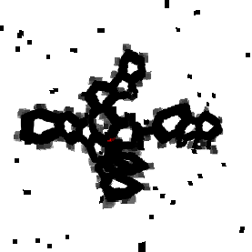 CC12C=CC=CC1c1ccc(-c3nc(-c4ccc5ccccc5c4)nc(-c4c(-n5c6cc7ccccc7cc6c6cc7ccccc7cc65)ccc5c4oc4ccccc45)n3)cc1O2